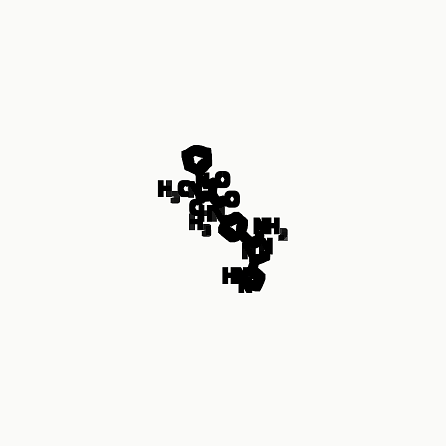 Cc1c(C(=O)Nc2ccc(-c3nc(-c4ccn[nH]4)cnc3N)cc2)c(=O)n(-c2ccccc2)n1C